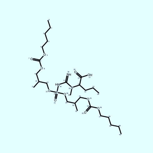 CCCCCOC(=O)OCC(C)COP(=O)(NC(=N)N(C)C(CCC)C(=O)O)OCC(C)COC(=O)OCCCCC